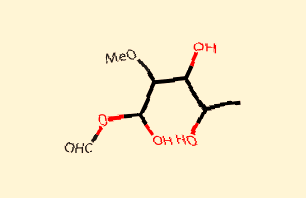 COC(C(O)OC=O)C(O)C(C)O